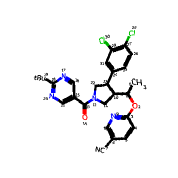 CC(Oc1ccc(C#N)cn1)C1CN(C(=O)c2cnc(C(C)(C)C)nc2)CC1c1ccc(Cl)c(Cl)c1